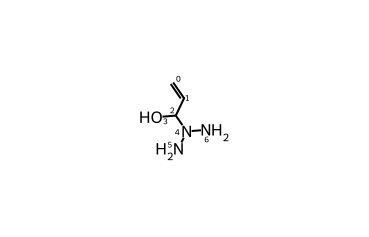 C=CC(O)N(N)N